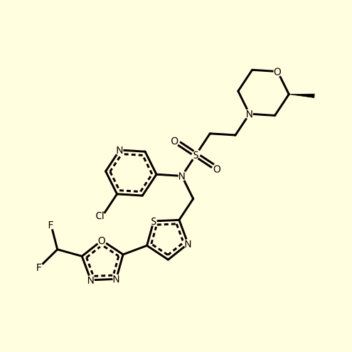 C[C@H]1CN(CCS(=O)(=O)N(Cc2ncc(-c3nnc(C(F)F)o3)s2)c2cncc(Cl)c2)CCO1